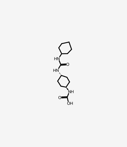 O=C(O)N[C@H]1CC[C@H](NC(=O)NC2CCCCC2)CC1